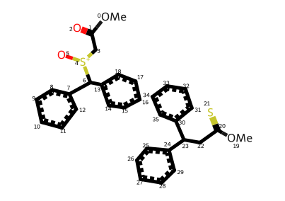 COC(=O)C[S+]([O-])C(c1ccccc1)c1ccccc1.COC(=S)CC(c1ccccc1)c1ccccc1